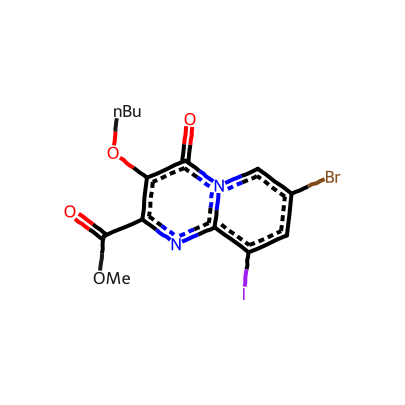 CCCCOc1c(C(=O)OC)nc2c(I)cc(Br)cn2c1=O